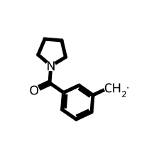 [CH2]c1cccc(C(=O)N2CCCC2)c1